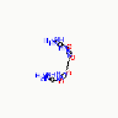 N=C(N)Nc1ccc(CNC(=O)N2CCN(C(=O)CCCCCCCC(=O)N3CCN(C(=O)NCc4ccc(NC(=N)N)cc4)CC3)CC2)cc1